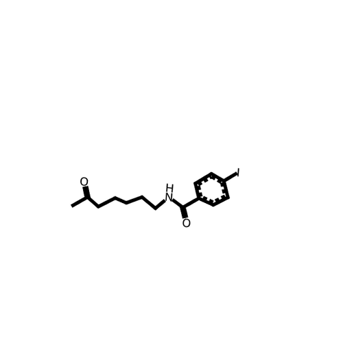 CC(=O)CCCCCNC(=O)c1ccc(I)cc1